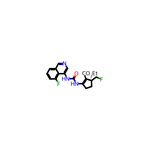 CCOC(=O)C1=C(NC(=O)Nc2cncc3cccc(F)c23)CCC1CF